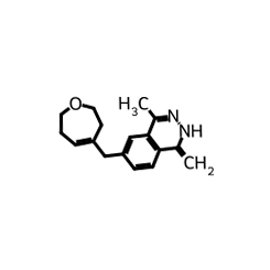 C=C1NN=C(C)c2cc(CC3=CCCOCC3)ccc21